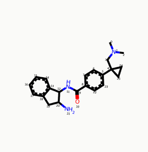 CN(C)CC1(c2ccc(C(=O)NC3c4ccccc4CC3N)cc2)CC1